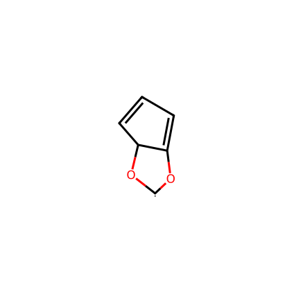 [CH]1OC2=CC=CC2O1